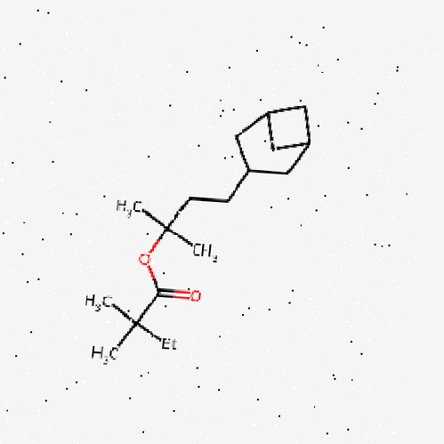 CCC(C)(C)C(=O)OC(C)(C)CCC1CC2CC(C1)C2